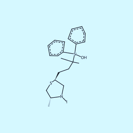 C[C@@H]1CS[C@@H](CCC(C)(C)[Si](O)(c2ccccc2)c2ccccc2)CN1I